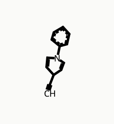 C#CC1C=CN(c2ccccc2)C=C1